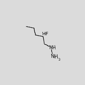 CCCCCNN.F